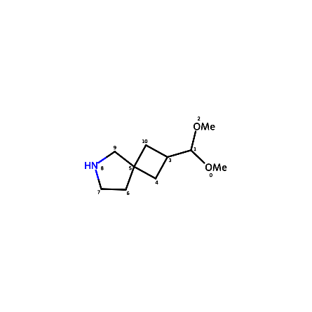 COC(OC)C1CC2(CCNC2)C1